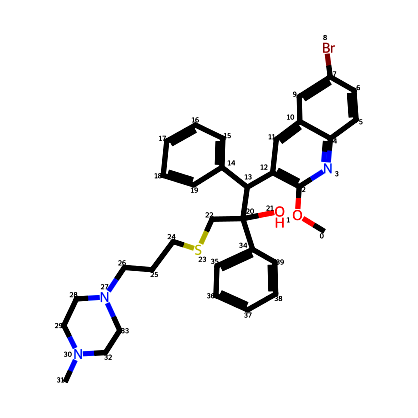 COc1nc2ccc(Br)cc2cc1C(c1ccccc1)C(O)(CSCCCN1CCN(C)CC1)c1ccccc1